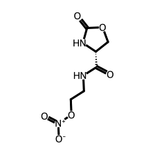 O=C1N[C@@H](C(=O)NCCO[N+](=O)[O-])CO1